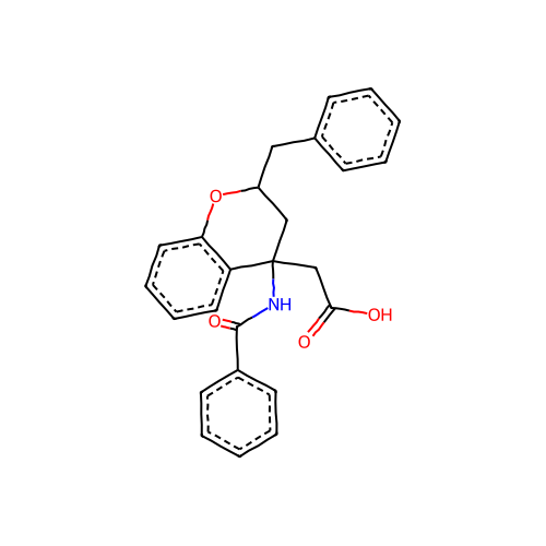 O=C(O)CC1(NC(=O)c2ccccc2)CC(Cc2ccccc2)Oc2ccccc21